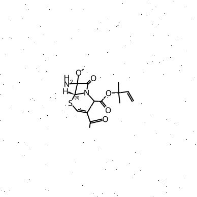 C=CC(C)(C)OC(=O)C1C(C(C)=O)=CS[C@H]2N1C(=O)C2(N)OC